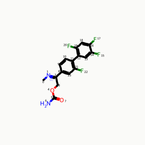 C/N=C(\COC(N)=O)c1ccc(-c2cc(F)c(F)cc2F)c(F)c1